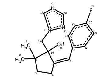 CC1(C)CCC(=Cc2ccc(F)cc2)C1(O)Cn1cncn1